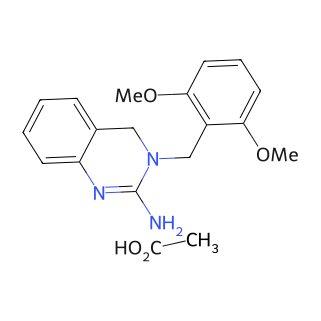 CC(=O)O.COc1cccc(OC)c1CN1Cc2ccccc2N=C1N